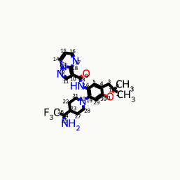 CC1(C)Cc2cc(NC(=O)c3cnn4cccnc34)c(N3CCC(C(N)C(F)(F)F)CC3)cc2O1